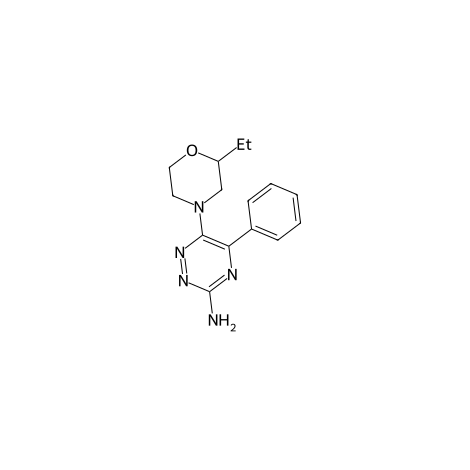 CCC1CN(c2nnc(N)nc2-c2ccccc2)CCO1